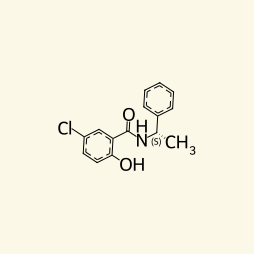 C[C@H](NC(=O)c1cc(Cl)ccc1O)c1ccccc1